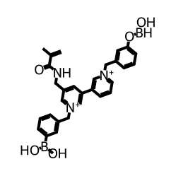 C=C(C)C(=O)NCc1cc(-c2ccc[n+](Cc3cccc(OBO)c3)c2)c[n+](Cc2cccc(B(O)O)c2)c1